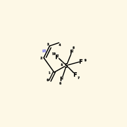 C=C(/C=C\C)S(F)(F)(F)(F)F